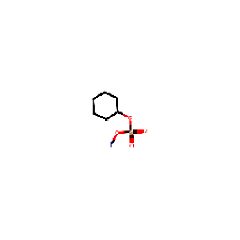 O=S(=O)(OI)OC1CCCCC1